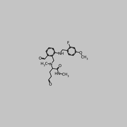 CNC(=O)C(CCC=O)N(C)Cc1c(C=O)cccc1NCc1ccc(OC)cc1F